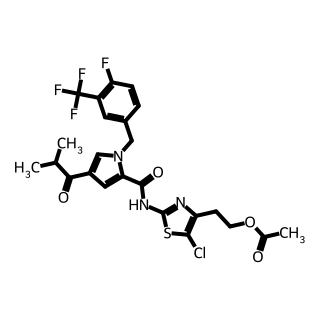 CC(=O)OCCc1nc(NC(=O)c2cc(C(=O)C(C)C)cn2Cc2ccc(F)c(C(F)(F)F)c2)sc1Cl